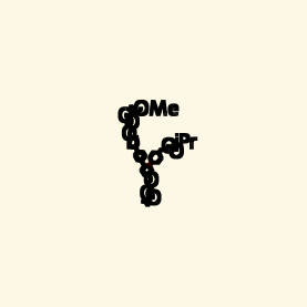 C=C(C)C(=O)OCCOc1ccc(-c2ccc(-c3ccc(OCCOC(=O)C(=C)COC)cc3)cc2)c(C2CCC(CCOC(=O)C(C)C)CC2)c1